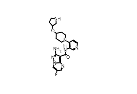 Nc1nn2cc(F)cnc2c1C(=O)Nc1cnccc1N1CCC(OC2CCNC2)CC1